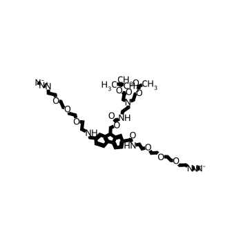 CC(=O)OCCN(CCNC(=O)OCC1c2cc(CNCCOCCOCCOCCN=[N+]=[N-])ccc2-c2ccc(C(=O)NCCOCCOCCOCCN=[N+]=[N-])cc21)CC(=O)OC(C)(C)C